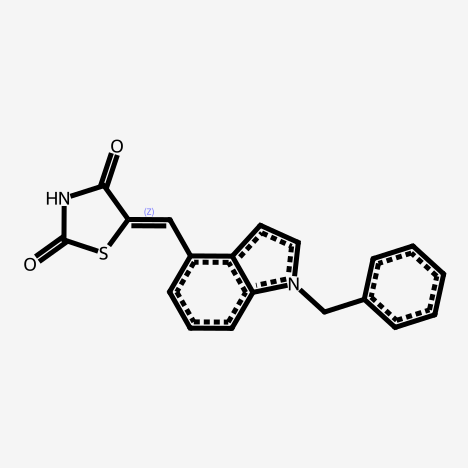 O=C1NC(=O)/C(=C/c2cccc3c2ccn3Cc2ccccc2)S1